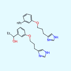 CCC(O)c1cccc(OCCCc2c[nH]cn2)c1.CCCc1cccc(OCCCc2c[nH]cn2)c1